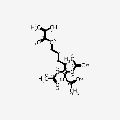 C=C(C)C(=O)OCCCC[Si](OC(C)=O)(OC(C)=O)OC(C)=O